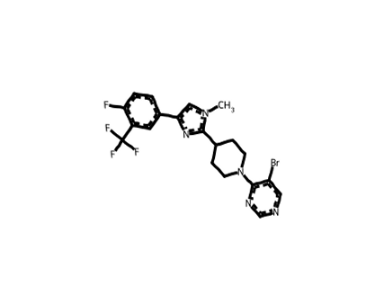 Cn1cc(-c2ccc(F)c(C(F)(F)F)c2)nc1C1CCN(c2ncncc2Br)CC1